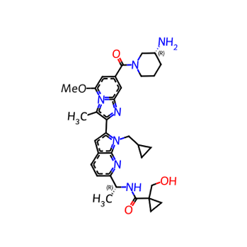 COc1cc(C(=O)N2CCC[C@@H](N)C2)cc2nc(-c3cc4ccc([C@@H](C)NC(=O)C5(CO)CC5)nc4n3CC3CC3)c(C)n12